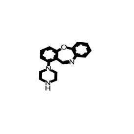 C1=Nc2ccccc2Oc2cccc(N3CCNCC3)c21